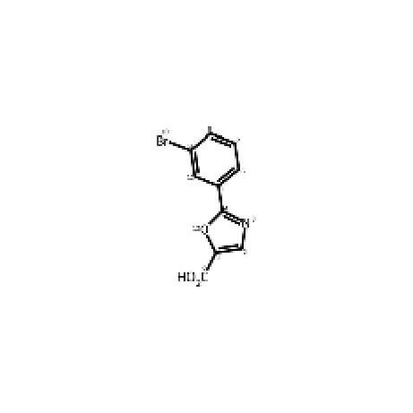 O=C(O)c1cnc(-c2cccc(Br)c2)o1